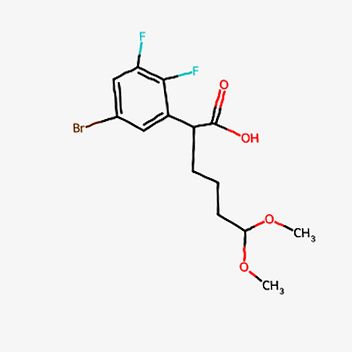 COC(CCCC(C(=O)O)c1cc(Br)cc(F)c1F)OC